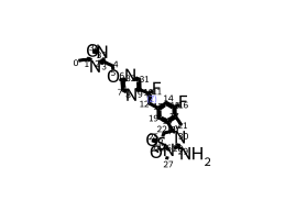 Cc1nc(COc2cnc(/C(F)=C/c3cc(F)c4c(c3)[C@]3(C4)CS(=O)(=O)N(C)C(N)=N3)cn2)no1